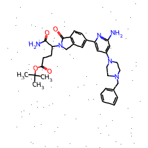 CC(C)(C)OC(=O)CCC(C(N)=O)N1Cc2cc(-c3cc(N4CCN(Cc5ccccc5)CC4)cc(N)n3)ccc2C1=O